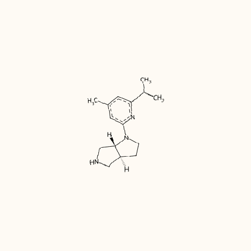 Cc1cc(C(C)C)nc(N2CC[C@H]3CNC[C@@H]32)c1